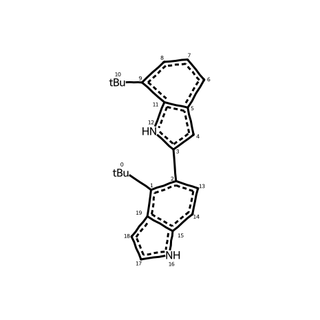 CC(C)(C)c1c(-c2cc3cccc(C(C)(C)C)c3[nH]2)ccc2[nH]ccc12